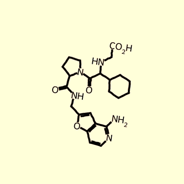 Nc1nccc2oc(CNC(=O)C3CCCN3C(=O)C(NCC(=O)O)C3CCCCC3)cc12